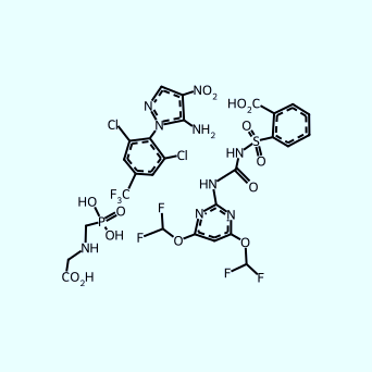 Nc1c([N+](=O)[O-])cnn1-c1c(Cl)cc(C(F)(F)F)cc1Cl.O=C(Nc1nc(OC(F)F)cc(OC(F)F)n1)NS(=O)(=O)c1ccccc1C(=O)O.O=C(O)CNCP(=O)(O)O